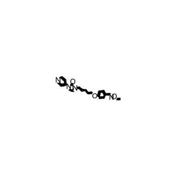 CCON=Cc1ccc(OCCCCCN2CCN(c3ccncc3)C2=O)cc1